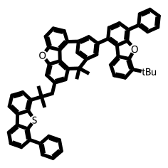 CC(C)(C)c1cccc2c1oc1c(-c3ccccc3)ccc(-c3cc4cc(c3)C(C)(C)c3cc(CC(C)(C)c5cccc6c5sc5c(-c7ccccc7)cccc56)cc5oc6cccc-4c6c35)c12